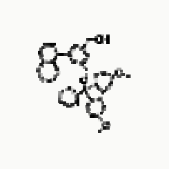 COc1ccc(C(OCc2cc(CO)cc(-c3cccc4ccccc34)c2)(c2ccccc2)c2ccc(OC)cc2)cc1